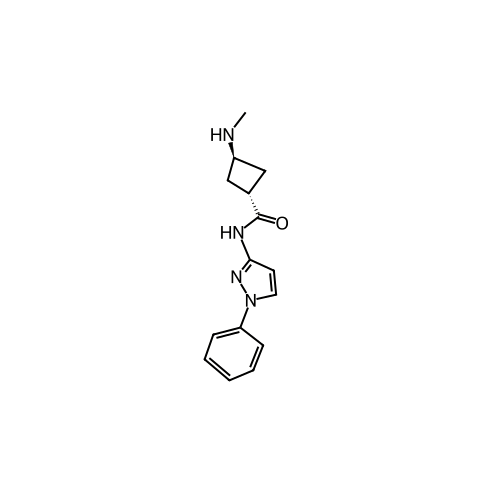 CN[C@H]1C[C@H](C(=O)Nc2ccn(-c3ccccc3)n2)C1